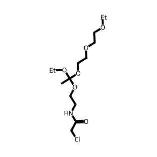 CCOCCOCCOC(C)(OCC)OCCNC(=O)CCl